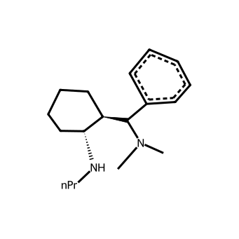 CCCN[C@@H]1CCCC[C@H]1C(c1ccccc1)N(C)C